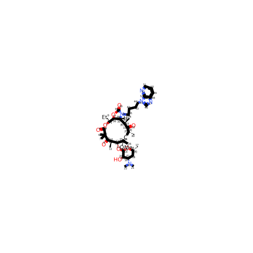 CC[C@H]1OC(=O)C(C)(C)C(=O)[C@H](C)[C@@H](OC2O[C@H](C)C[C@H](N(C)C)[C@H]2O)[C@@](C)(OC)C[C@@H](C)C(=O)[C@H](C)[C@@H]2C1OC(=O)N2CCCCn1cnc2cccnc21